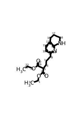 CCOC(=O)C(CCCc1ccc2c(n1)NCCC2)C(=O)OCC